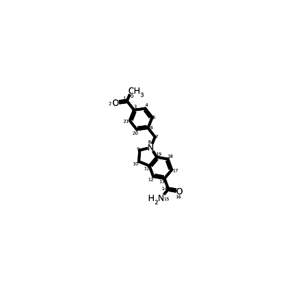 CC(=O)c1ccc(CN2CCc3cc(C(N)=O)ccc32)cc1